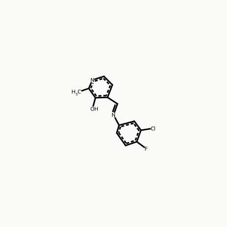 Cc1nccc(/C=N/c2ccc(F)c(Cl)c2)c1O